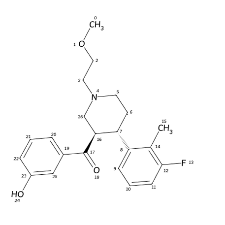 COCCN1C[CH][C@H](c2cccc(F)c2C)[C@@H](C(=O)c2cccc(O)c2)C1